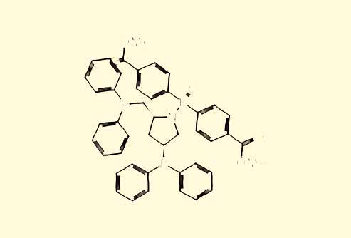 COC(=O)c1ccc(P(=O)(c2ccc(C(=O)OC)cc2)N2C[C@@H](P(c3ccccc3)c3ccccc3)C[C@H]2CP(c2ccccc2)c2ccccc2)cc1